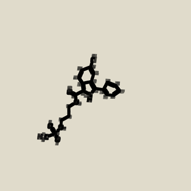 CS(=O)(=O)OCCCOC(=O)c1[nH]c(-c2ccccc2)c2cc(Cl)ccc12